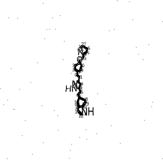 C(=C\c1cc(/C=C/c2ccc3[nH]ccc3c2)[nH]n1)/c1ccc(OCc2ccccn2)cc1